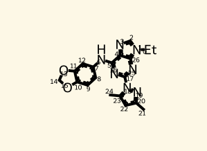 CCn1cnc2c(Nc3ccc4c(c3)OCO4)nc(-n3nc(C)cc3C)nc21